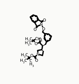 CC(C)(C)OC(=O)[C@@H](Cc1cccc(CON2C(=O)c3ccccc3C2=O)c1)[C@H]1CCN(C(=O)OC(C)(C)C)C1